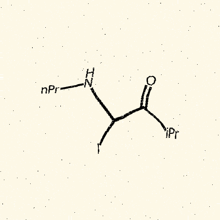 CCCNC(I)C(=O)C(C)C